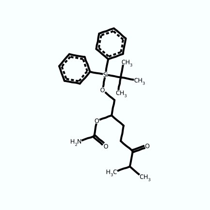 CC(C)C(=O)CCC(CO[Si](c1ccccc1)(c1ccccc1)C(C)(C)C)OC(N)=O